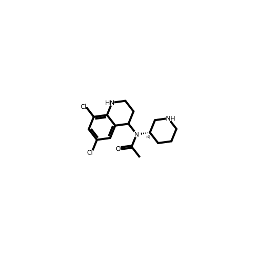 CC(=O)N(C1CCNc2c(Cl)cc(Cl)cc21)[C@H]1CCCNC1